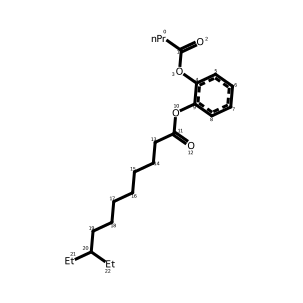 CCCC(=O)Oc1ccccc1OC(=O)CCCCCCCC(CC)CC